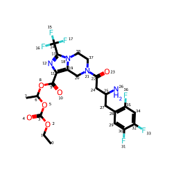 CCOC(=O)OC(C)OC(=O)c1nc(C(F)(F)F)n2c1CN(C(=O)CC(N)Cc1cc(F)c(F)cc1F)CC2